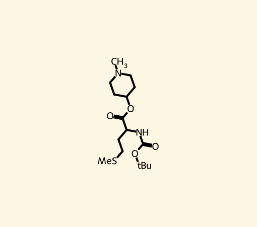 CSCCC(NC(=O)OC(C)(C)C)C(=O)OC1CCN(C)CC1